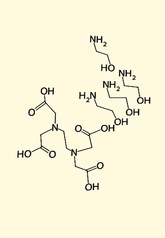 NCCO.NCCO.NCCO.NCCO.O=C(O)CN(CCN(CC(=O)O)CC(=O)O)CC(=O)O